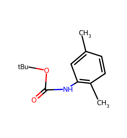 Cc1ccc(C)c(NC(=O)OC(C)(C)C)c1